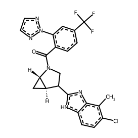 Cc1c(Cl)ccc2[nH]c(C3CN(C(=O)c4ccc(C(F)(F)F)cc4-n4nccn4)[C@H]4C[C@H]34)nc12